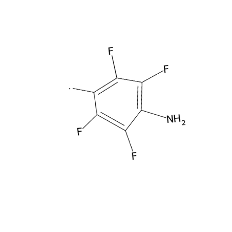 [CH2]c1c(F)c(F)c(N)c(F)c1F